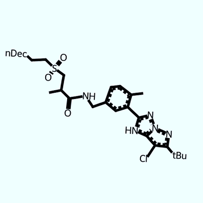 CCCCCCCCCCCCS(=O)(=O)CC(C)C(=O)NCc1ccc(C)c(-c2nn3nc(C(C)(C)C)c(Cl)c3[nH]2)c1